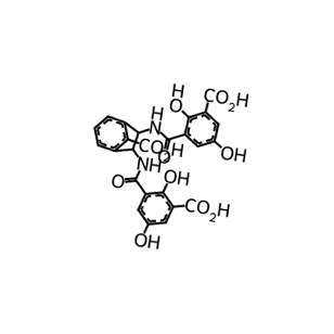 O=C(O)c1cc(O)cc(C(=O)NC2c3cccc(c3C(=O)O)C2NC(=O)c2cc(O)cc(C(=O)O)c2O)c1O